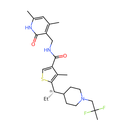 CC[C@H](c1scc(C(=O)NCc2c(C)cc(C)[nH]c2=O)c1C)C1CCN(CC(C)(F)F)CC1